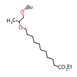 CCOC(=O)CCCCCCCCCCOC(C)COC(C)CC